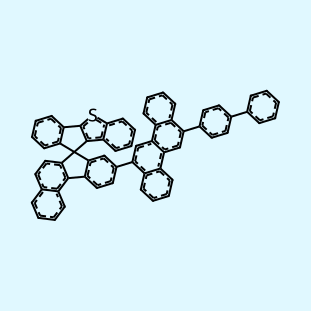 c1ccc(-c2ccc(-c3cc4c5ccccc5c(-c5ccc6c(c5)C5(c7ccccc7-c7sc8ccccc8c75)c5ccc7ccccc7c5-6)cc4c4ccccc34)cc2)cc1